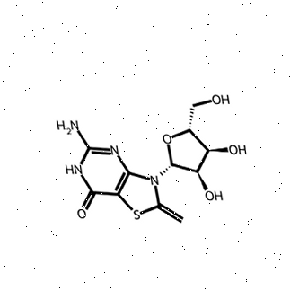 C=C1Sc2c(nc(N)[nH]c2=O)N1[C@@H]1O[C@H](CO)[C@@H](O)[C@H]1O